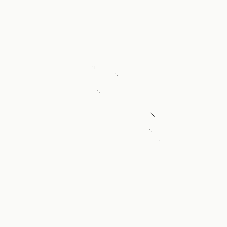 Cc1nc(N[C@H]2CC[C@H](CNC(=O)OC(C)(C)C)CC2)nc2ccccc12